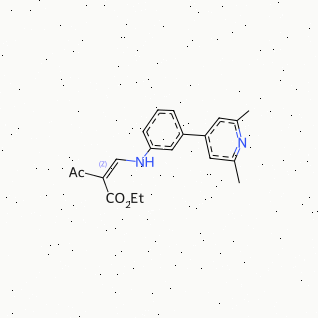 CCOC(=O)/C(=C\Nc1cccc(-c2cc(C)nc(C)c2)c1)C(C)=O